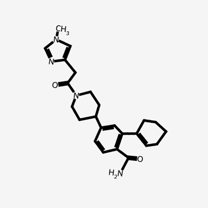 Cn1cnc(CC(=O)N2CCC(c3ccc(C(N)=O)c(C4=CCCCC4)c3)CC2)c1